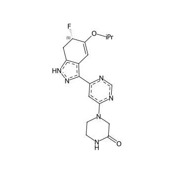 CC(C)OC1=Cc2c(-c3cc(N4CCNC(=O)C4)ncn3)n[nH]c2C[C@@H]1F